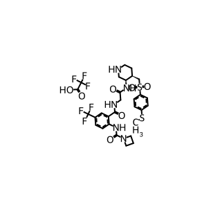 CSc1ccc(S(=O)(=O)C[C@@H]2CCNC[C@@H]2NC(=O)CNC(=O)c2cc(C(F)(F)F)ccc2NC(=O)N2CCC2)cc1.O=C(O)C(F)(F)F